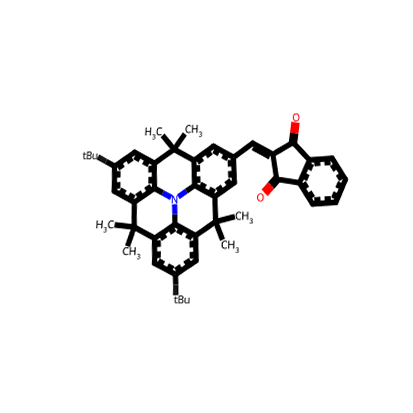 CC(C)(C)c1cc2c3c(c1)C(C)(C)c1cc(C(C)(C)C)cc4c1N3c1c(cc(C=C3C(=O)c5ccccc5C3=O)cc1C4(C)C)C2(C)C